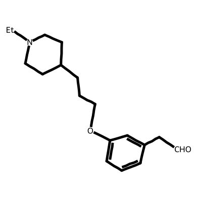 CCN1CCC(CCCOc2cccc(CC=O)c2)CC1